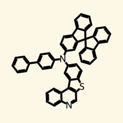 c1ccc(-c2ccc(N(c3ccc4c(c3)C3(c5ccccc5-c5ccccc53)c3ccccc3-4)c3ccc4sc5cnc6ccccc6c5c4c3)cc2)cc1